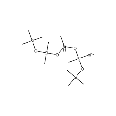 CCC[Si](C)(O[SiH](C)O[Si](C)(C)O[Si](C)(C)C)O[Si](C)(C)C